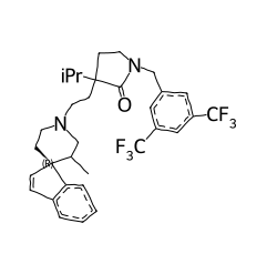 CC(C)C1(CCN2CC[C@@]3(C=Cc4ccccc43)C(C)C2)CCN(Cc2cc(C(F)(F)F)cc(C(F)(F)F)c2)C1=O